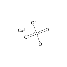 [Ca+2].[O]=[W](=[O])([O-])[O-]